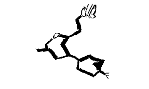 Cc1cc(-c2ccc(F)cc2)c(C=CC=O)o1